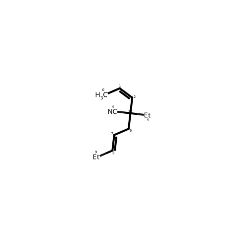 C/C=C\C(C#N)(CC)C/C=C/CC